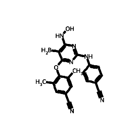 Bc1c(NO)nc(Nc2ccc(C#N)cc2)nc1Oc1c(C)cc(C#N)cc1C